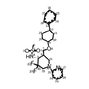 CS(=O)(=O)N[C@@H]1C(COC2CCC(c3ccccc3)CC2)CN(c2ccccn2)CC1(F)F